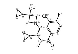 CN(C(=O)c1ccc(F)c(Cl)c1)[C@H](CN1CC(O)(C2CC2)C1)C1CC1